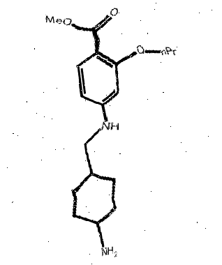 CCCOc1cc(NCC2CCC(N)CC2)ccc1C(=O)OC